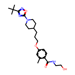 Cc1cc(OCCCC2CCN(c3nc(C(C)(C)C)no3)CC2)ccc1C(=O)NCCO